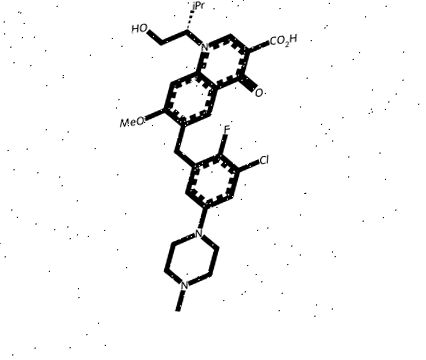 COc1cc2c(cc1Cc1cc(N3CCN(C)CC3)cc(Cl)c1F)c(=O)c(C(=O)O)cn2[C@H](CO)C(C)C